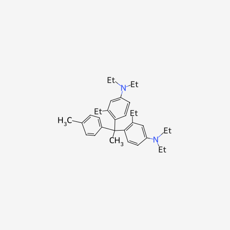 CCc1cc(N(CC)CC)ccc1C(C)(c1ccc(C)cc1)c1ccc(N(CC)CC)cc1CC